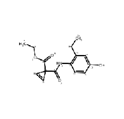 CCOC(=O)C1(C(=O)Nc2ccc(Cl)cc2CC)C=C1